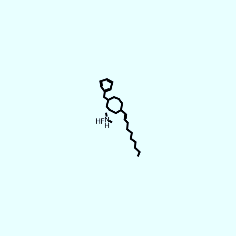 CCCCCCCCC=CC1CCCC(Cc2ccccc2)CCC1.CNC.F